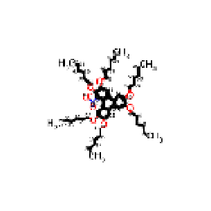 CCCCCCOc1cc2c3cc(OCCCCCC)c(OCCCCCC)cc3c3c([N+](=O)[O-])c(OCCCCCC)c(OCCCCCC)cc3c2cc1OCCCCCC